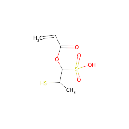 C=CC(=O)OC(C(C)S)S(=O)(=O)O